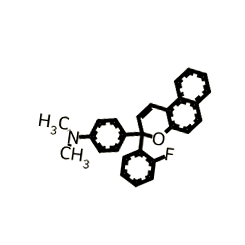 CN(C)c1ccc(C2(c3ccccc3F)C=Cc3c(ccc4ccccc34)O2)cc1